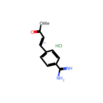 COC(=O)/C=C/c1ccc(C(=N)N)cc1.Cl